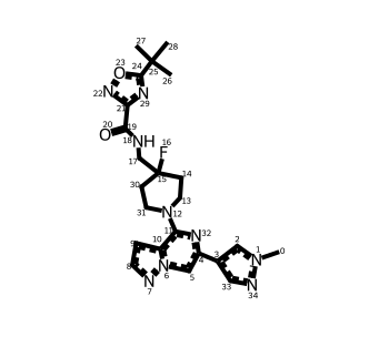 Cn1cc(-c2cn3nccc3c(N3CCC(F)(CNC(=O)c4noc(C(C)(C)C)n4)CC3)n2)cn1